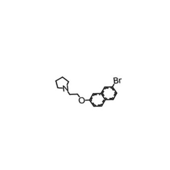 Brc1ccc2ccc(OCCN3CCCC3)cc2c1